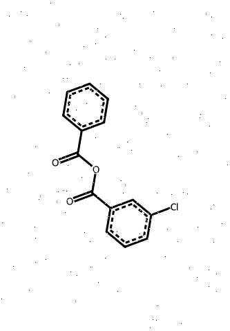 O=C(OC(=O)c1cccc(Cl)c1)c1ccccc1